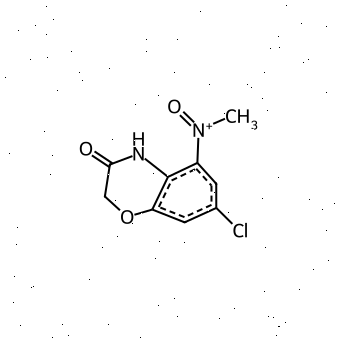 C[N+](=O)c1cc(Cl)cc2c1NC(=O)CO2